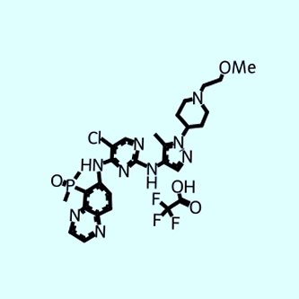 COCCN1CCC(n2ncc(Nc3ncc(Cl)c(Nc4ccc5nccnc5c4P(C)(C)=O)n3)c2C)CC1.O=C(O)C(F)(F)F